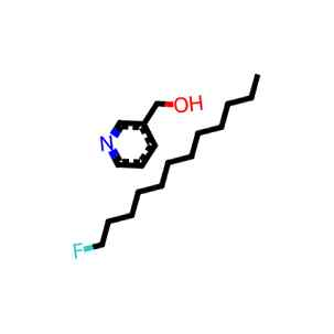 CCCCCCCCCCCCF.OCc1cccnc1